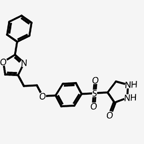 O=C1NNCC1S(=O)(=O)c1ccc(OCCc2coc(-c3ccccc3)n2)cc1